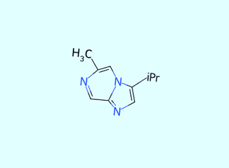 Cc1cn2c(C(C)C)cnc2cn1